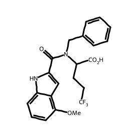 COc1cccc2[nH]c(C(=O)N(Cc3ccccc3)C(CCC(F)(F)F)C(=O)O)cc12